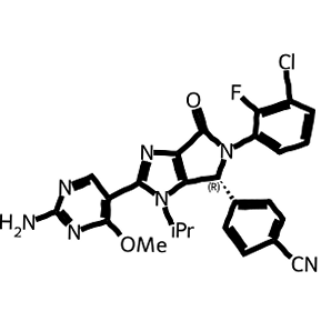 COc1nc(N)ncc1-c1nc2c(n1C(C)C)[C@@H](c1ccc(C#N)cc1)N(c1cccc(Cl)c1F)C2=O